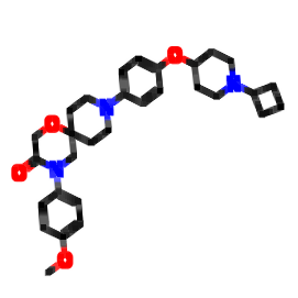 COc1ccc(N2CC3(CCN(c4ccc(OC5CCN(C6CCC6)CC5)cc4)CC3)OCC2=O)cc1